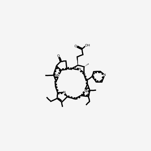 CCC1=C(C)c2cc3[nH]c(c(C)c3CC)c(-c3ccncc3)c3nc(c4c5[nH]c(cc1n2)c(C)c5C(=O)C4)[C@@H](CCC(=O)O)[C@@H]3C